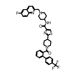 O=C(NC1CCN(Cc2ccc3cc(F)ccc3n2)CC1)c1csc(C2CCN(C(=O)c3ccccc3-c3ccc(C(F)(F)F)cc3)CC2)n1